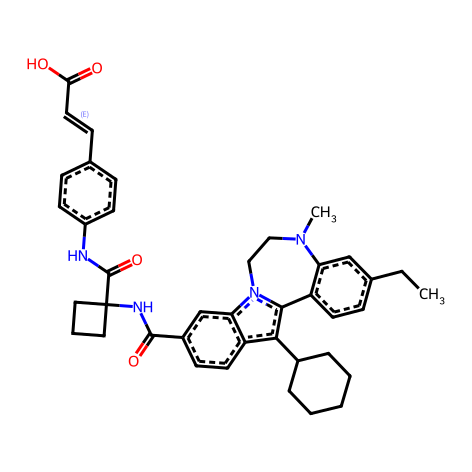 CCc1ccc2c(c1)N(C)CCn1c-2c(C2CCCCC2)c2ccc(C(=O)NC3(C(=O)Nc4ccc(/C=C/C(=O)O)cc4)CCC3)cc21